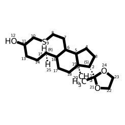 CC1([C@H]2CCC3C4CC[SH]5CC(O)CC[C@@H]5C4CC[C@@]32C)OCCO1